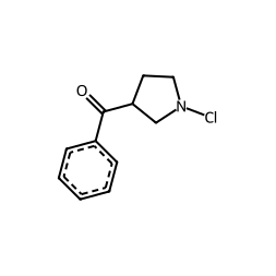 O=C(c1ccccc1)C1CCN(Cl)C1